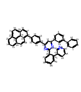 c1ccc(-c2cccc(-c3cc(-c4ccc(-c5ccc6ccc7cccc8ccc5c6c78)cc4)nc(-c4ccccc4-c4cccnc4)n3)c2)cc1